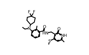 CCN(c1cccc(C(=O)NCc2c(SC)cc(C)[nH]c2=O)c1C)C1CCC(F)(F)CC1